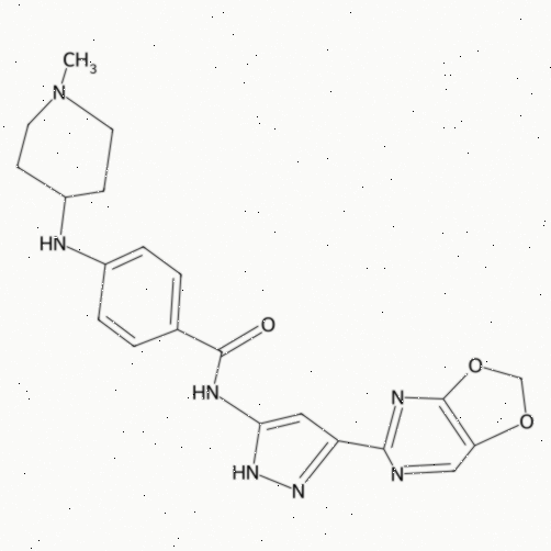 CN1CCC(Nc2ccc(C(=O)Nc3cc(-c4ncc5c(n4)OCO5)n[nH]3)cc2)CC1